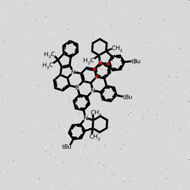 CC(C)(C)c1ccc(N2c3cc(N4c5ccc(C(C)(C)C)cc5C5(C)CCCCC45C)ccc3B3C4=CC=CC5C6=C(c7ccccc7C6(C)C)N(C6=C3C2CC(N2c3ccc(C(C)(C)C)cc3C3(C)CCCCC23C)=C6)C45)c(-c2ccccc2)c1